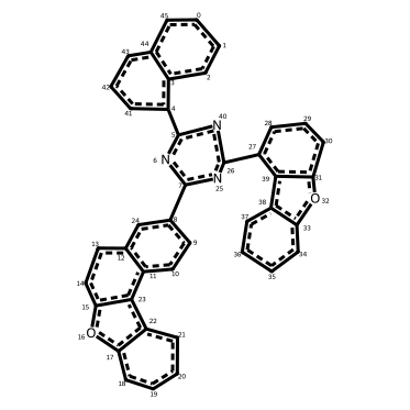 c1ccc2c(-c3nc(-c4ccc5c(ccc6oc7ccccc7c65)c4)nc(-c4cccc5oc6ccccc6c45)n3)cccc2c1